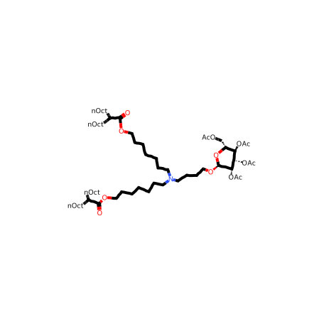 CCCCCCCCC(CCCCCCCC)C(=O)OCCCCCCCN(CCCCCCCOC(=O)C(CCCCCCCC)CCCCCCCC)CCCCO[C@H]1O[C@H](COC(C)=O)[C@@H](OC(C)=O)[C@H](OC(C)=O)[C@@H]1OC(C)=O